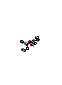 c1ccc(-c2cccc(-c3cc(-c4ccc5c(c4)C4(c6ccccc6Sc6ccccc64)c4cc(-c6cccc7cccnc67)ccc4-5)nc(-c4ccccc4)n3)c2)cc1